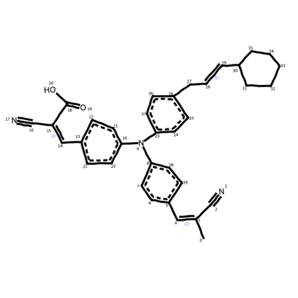 C/C(C#N)=C/c1ccc(N(c2ccc(/C=C(/C#N)C(=O)O)cc2)c2ccc(C/C=C/C3CCCCC3)cc2)cc1